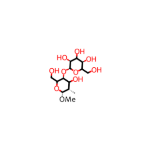 CO[C@@H]1OC(CO)[C@@H](O[C@@H]2OC(CO)[C@H](O)C(O)[C@@H]2O)C(O)[C@@H]1C